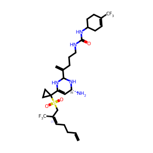 C=CCC/C=C(\CS(=O)(=O)C1(C2=C[C@@H](N)NC(C(=C)CCCNC(=O)NC3CC=C(C(F)(F)F)CC3)N2)CC1)C(F)(F)F